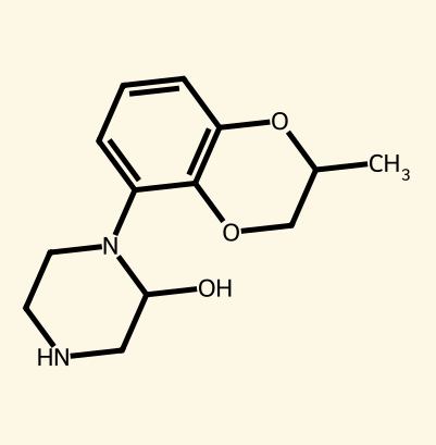 CC1COc2c(cccc2N2CCNCC2O)O1